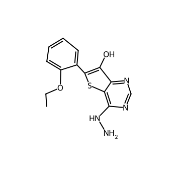 CCOc1ccccc1-c1sc2c(NN)ncnc2c1O